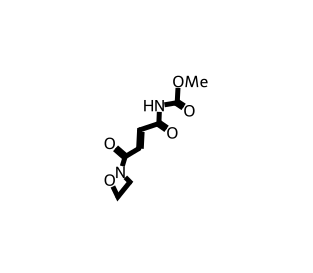 COC(=O)NC(=O)/C=C/C(=O)N1CCO1